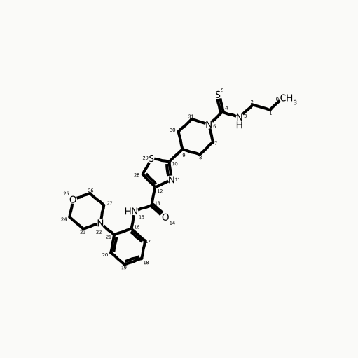 CCCNC(=S)N1CCC(c2nc(C(=O)Nc3ccccc3N3CCOCC3)cs2)CC1